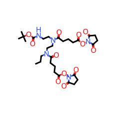 CCCN(CCN(CCNC(=O)OC(C)(C)C)C(=O)CCCC(=O)ON1C(=O)CCC1=O)C(=O)CCCC(=O)ON1C(=O)CCC1=O